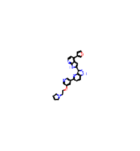 c1cc(-c2ccoc2)c2cc(-c3n[nH]c4ccc(-c5cncc(OCCN6CCCC6)c5)nc34)[nH]c2n1